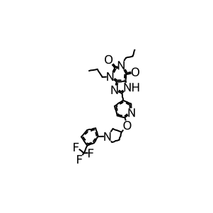 CCCn1c(=O)c2[nH]c(-c3ccc(OC4CCN(c5cccc(C(F)(F)F)c5)C4)nc3)nc2n(CCC)c1=O